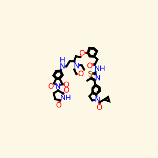 Cc1sc(NC(=O)Cc2cccc(OCCC(CCNc3ccc4c(c3)C(=O)N(C3CCC(=O)NC3=O)C4=O)N3CCOCC3)c2)nc1-c1ccc2c(c1)CCN2C(=O)C1CC1